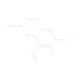 CCCCOc1c(C)c(C(=O)OCC)nc2ccc(Br)cc12